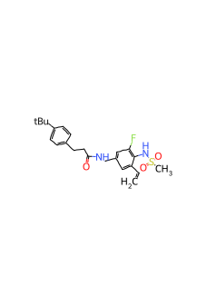 C=Cc1cc(CNC(=O)CCc2ccc(C(C)(C)C)cc2)cc(F)c1NS(C)(=O)=O